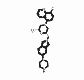 C[C@@H]1CN(c2ccc(Cl)c3ncccc23)C[C@H](Cn2cc3ccc(N4CCNCC4)cc3c2)O1